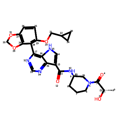 C[C@H](O)C(=O)N1CCC[C@@H](NC(=O)c2c[nH]c3c(-c4c(OCC5CC5)ccc5c4OCO5)ncnc23)C1